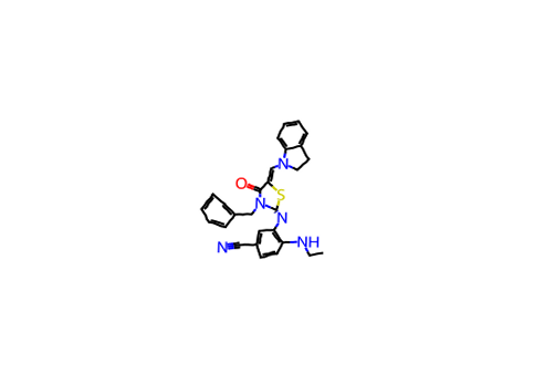 CCNc1ccc(C#N)cc1/N=C1/S/C(=C\N2CCc3ccccc32)C(=O)N1Cc1ccccc1